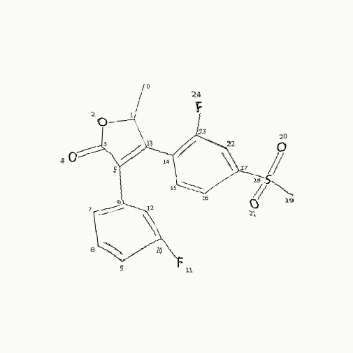 CC1OC(=O)C(c2cccc(F)c2)=C1c1ccc(S(C)(=O)=O)cc1F